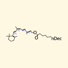 CCCCCCCCCCCCCCCC(=O)OC/C=C(C)/C=C/C=C(C)\C=C\C1=C(C)CCCC1(C)C